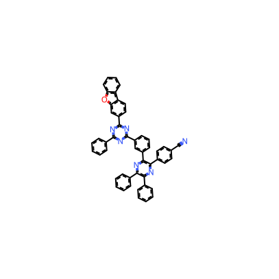 N#Cc1ccc(-c2nc(-c3ccccc3)c(-c3ccccc3)nc2-c2cccc(-c3nc(-c4ccccc4)nc(-c4ccc5c(c4)oc4ccccc45)n3)c2)cc1